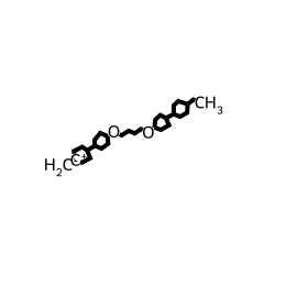 [CH2-][C+]1CCC(C2CCC(OCCCCOC3CCC(C4CCC(CC)CC4)CC3)CC2)CC1